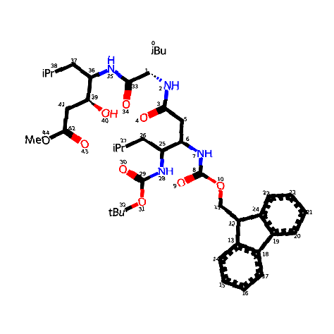 CC[C@H](C)[C@H](NC(=O)CC(NC(=O)OCC1c2ccccc2-c2ccccc21)C(CC(C)C)NC(=O)OC(C)(C)C)C(=O)NC(CC(C)C)[C@@H](O)CC(=O)OC